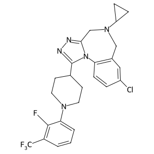 Fc1c(N2CCC(c3nnc4n3-c3ccc(Cl)cc3CN(C3CC3)C4)CC2)cccc1C(F)(F)F